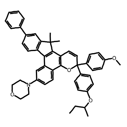 CCC(C)Oc1ccc(C2(c3ccc(OC)cc3)C=Cc3c4c(c5cc(N6CCOCC6)ccc5c3O2)-c2ccc(-c3ccccc3)cc2C4(C)C)cc1